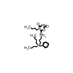 CCCC[N+](CCCC)(CCCC)Cc1ccccc1.CCCCn1c(=O)[nH]c(=O)oc1=O